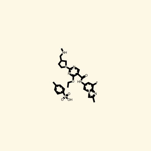 CCOc1nc(N2CCC(CNC)C2)ncc1C(=O)Nc1cc(F)c2nc(C)cn2c1.Cc1ccc(S(=O)(=O)O)cc1